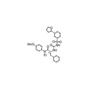 CCN(C(=O)[C@H](Cc1ccccc1)NC(=O)NS(=O)(=O)c1cccc(-c2ccco2)c1)c1ccc(OC)cc1